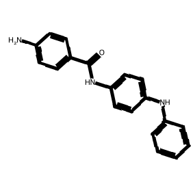 Nc1ccc(C(=O)Nc2ccc(Nc3ccccc3)cc2)cc1